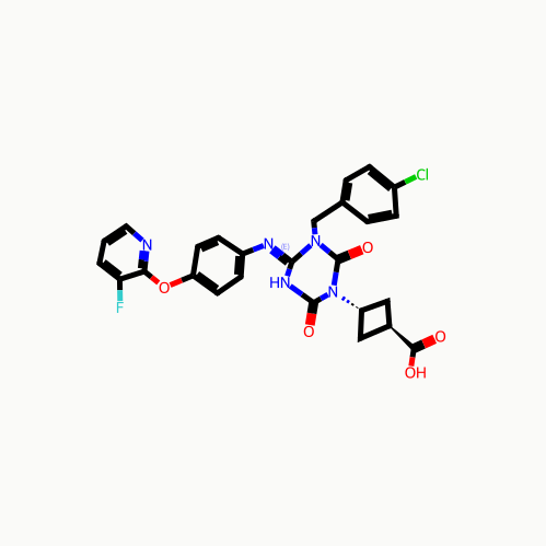 O=c1[nH]/c(=N\c2ccc(Oc3ncccc3F)cc2)n(Cc2ccc(Cl)cc2)c(=O)n1[C@H]1C[C@H](C(=O)O)C1